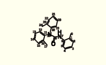 Cc1ccccc1NC(=O)N(c1ccccc1C)c1ccccc1C